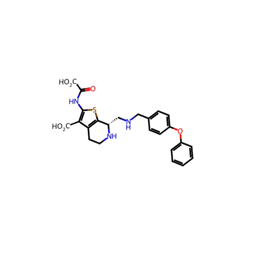 O=C(O)C(=O)Nc1sc2c(c1C(=O)O)CCN[C@H]2CNCc1ccc(Oc2ccccc2)cc1